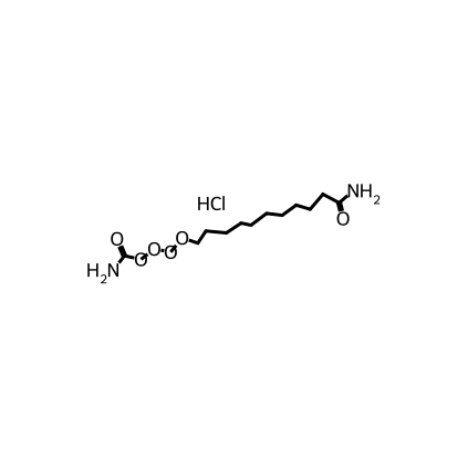 Cl.NC(=O)CCCCCCCCCCOOOOC(N)=O